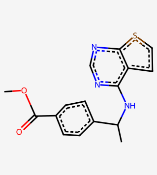 COC(=O)c1ccc(C(C)Nc2ncnc3sccc23)cc1